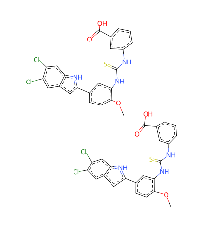 COc1ccc(-c2cc3cc(Cl)c(Cl)cc3[nH]2)cc1NC(=S)Nc1cccc(C(=O)O)c1.COc1ccc(-c2cc3cc(Cl)c(Cl)cc3[nH]2)cc1NC(=S)Nc1cccc(C(=O)O)c1